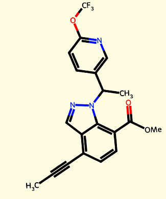 CC#Cc1ccc(C(=O)OC)c2c1cnn2C(C)c1ccc(OC(F)(F)F)nc1